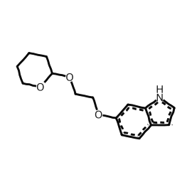 [c]1c[nH]c2cc(OCCOC3CCCCO3)ccc12